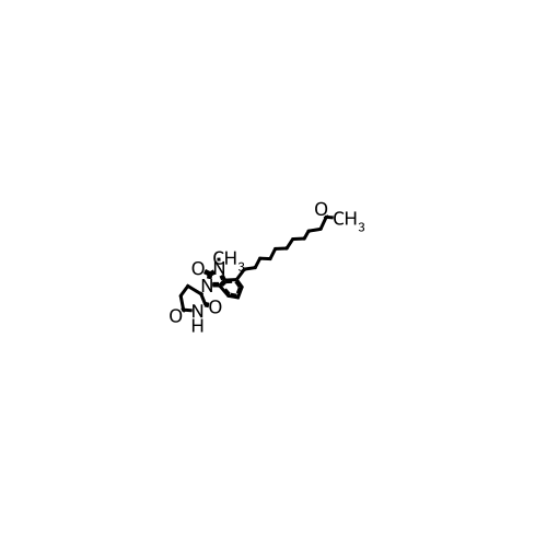 CC(=O)CCCCCCCCCCc1cccc2c1n(C)c(=O)n2C1CCC(=O)NC1=O